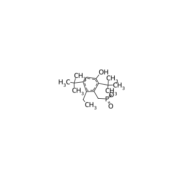 CCc1c(C(C)(C)C)cc(O)c(C(C)(C)C)c1CP(=O)=O